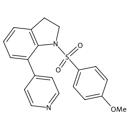 COc1ccc(S(=O)(=O)N2CCc3cccc(-c4ccncc4)c32)cc1